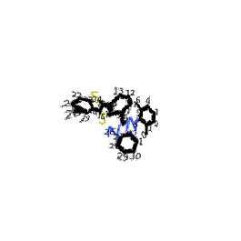 Cc1cccc(C)c1-n1c(-c2cccc3c2sc2c4ccccc4sc32)nc2ccccc21